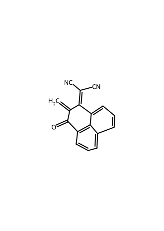 C=C1C(=O)c2cccc3cccc(c23)C1=C(C#N)C#N